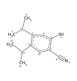 CC(C)c1cc(S)c(C#N)cc1C(C)C